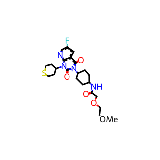 COCCOCC(=O)NC1CCC(n2c(=O)c3cc(F)cnc3n(C3CCSCC3)c2=O)CC1